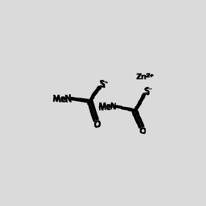 CNC(=O)[S-].CNC(=O)[S-].[Zn+2]